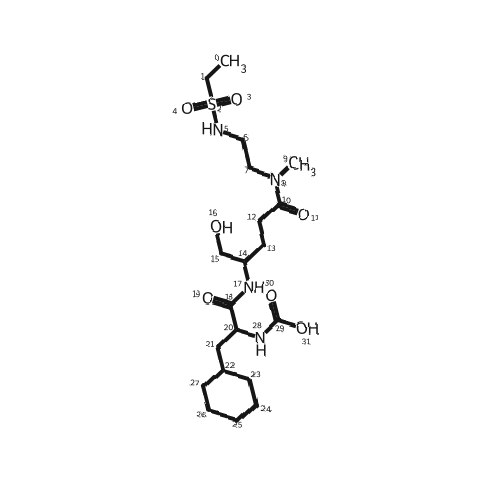 CCS(=O)(=O)NCCN(C)C(=O)CCC(CO)NC(=O)C(CC1CCCCC1)NC(=O)O